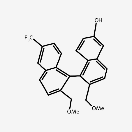 COCc1ccc2cc(O)ccc2c1-c1c(COC)ccc2cc(C(F)(F)F)ccc12